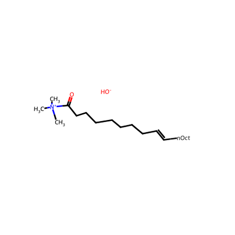 CCCCCCCCC=CCCCCCCCC(=O)[N+](C)(C)C.[OH-]